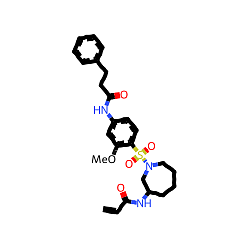 C=CC(=O)NC1CCCCN(S(=O)(=O)c2ccc(NC(=O)CCc3ccccc3)cc2OC)C1